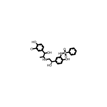 CC(NC[C@H](O)c1ccc(O)c(NS(=O)(=O)c2ccccc2)c1)C(O)c1ccc(O)c(Cl)c1